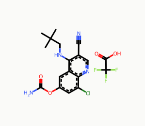 CC(C)(C)CNc1c(C#N)cnc2c(Cl)cc(OC(N)=O)cc12.O=C(O)C(F)(F)F